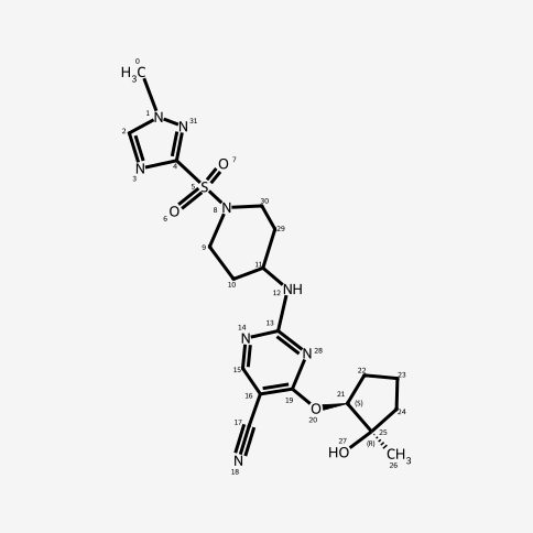 Cn1cnc(S(=O)(=O)N2CCC(Nc3ncc(C#N)c(O[C@H]4CCC[C@@]4(C)O)n3)CC2)n1